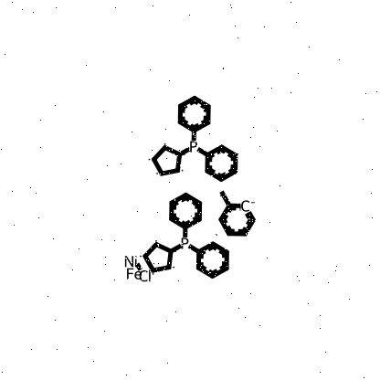 Cc1[c-]cccc1.[CH]1[CH][CH][C](P(c2ccccc2)c2ccccc2)[CH]1.[CH]1[CH][CH][C](P(c2ccccc2)c2ccccc2)[CH]1.[Cl][Ni].[Fe]